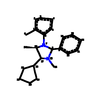 Cc1ccccc1N1C(c2ccccc2)N(C)C(C2CCCC2)[C@@H]1C